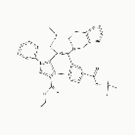 CCCCc1c(-c2ccc(C(=O)OC(C)(C)C)cc2C(=O)N2CCc3ccccc3C2)c(C(=O)OCC)nn1-c1ccccc1